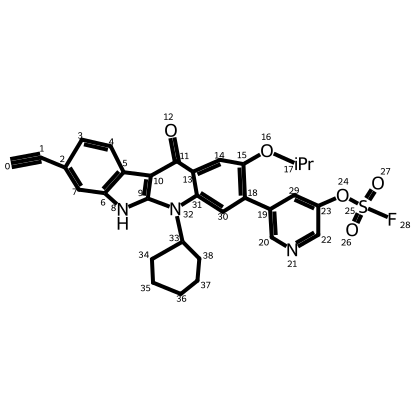 C#Cc1ccc2c(c1)[nH]c1c2c(=O)c2cc(OC(C)C)c(-c3cncc(OS(=O)(=O)F)c3)cc2n1C1CCCCC1